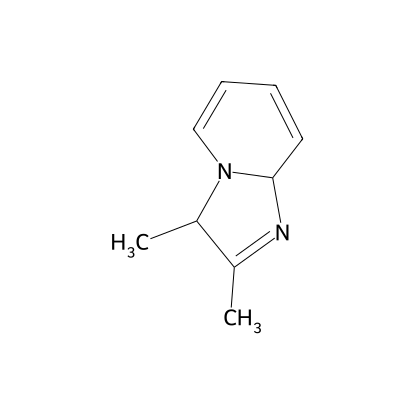 CC1=NC2C=CC=CN2C1C